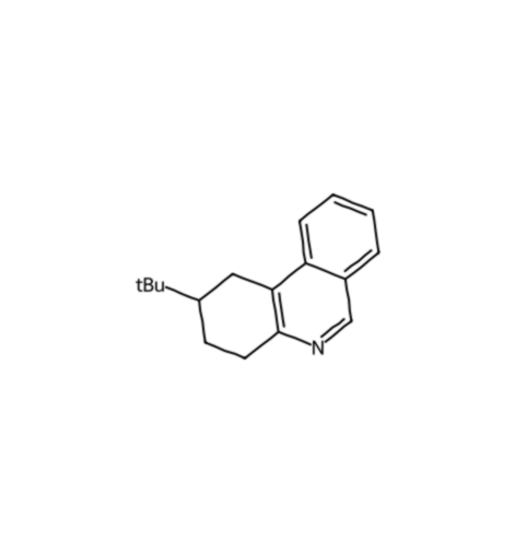 CC(C)(C)C1CCc2ncc3ccccc3c2C1